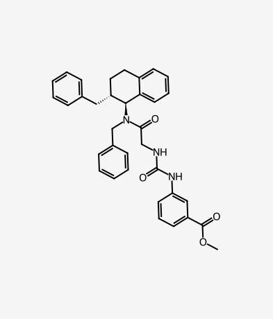 COC(=O)c1cccc(NC(=O)NCC(=O)N(Cc2ccccc2)[C@@H]2c3ccccc3CC[C@H]2Cc2ccccc2)c1